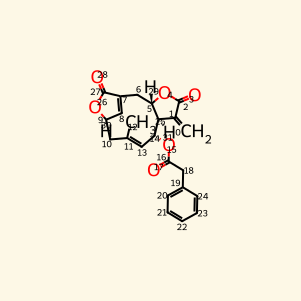 C=C1C(=O)O[C@H]2CC3=C[C@@H](C/C(C)=C/[C@@H](OC(=O)Cc4ccccc4)[C@H]12)OC3=O